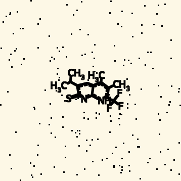 Cc1c2cc(C(C)C)c(=S)nc-2[nH]c(C(F)(F)F)c1C